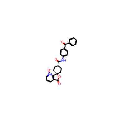 O=C(c1ccccc1)c1ccc(NC(=O)[C@H]2CC[C@]3(CC2)OC(=O)c2ccc[n+]([O-])c23)cc1